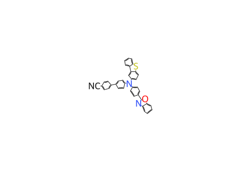 N#Cc1ccc(-c2ccc(N(c3ccc(-c4nc5ccccc5o4)cc3)c3ccc4sc5ccccc5c4c3)cc2)cc1